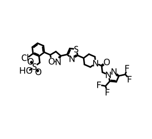 O=C(Cn1nc(C(F)F)cc1C(F)F)N1CCC(c2nc(C3=NOC(c4cccc(Cl)c4CS(=O)(=O)O)C3)cs2)CC1